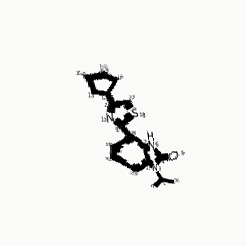 CC(C)n1c(=O)[nH]c2c(-c3nc(C4CCCC4)cs3)cccc21